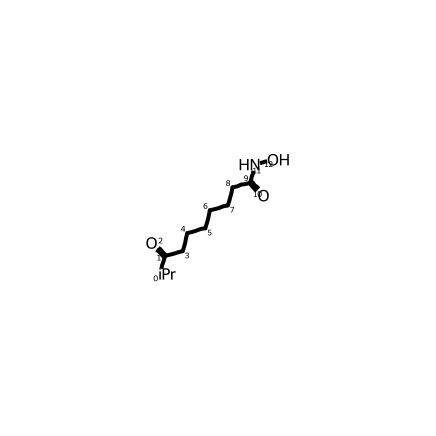 CC(C)C(=O)CCCCCCC(=O)NO